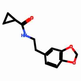 O=C(NCCc1ccc2c(c1)OCO2)C1CC1